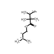 CC(C)C(C)C(C)(C)C(=O)OCCN(C)C